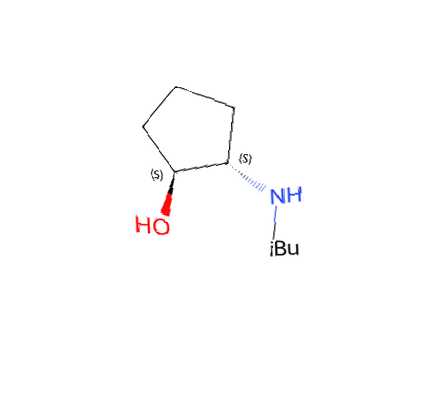 CCC(C)N[C@H]1CCC[C@@H]1O